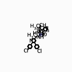 CC(N/C(=N/S(=O)(=O)c1ccccc1)NC(=O)OC(C)(C)C)c1cnc(-c2ccc(Cl)cc2)c(-c2ccc(Cl)cc2)c1